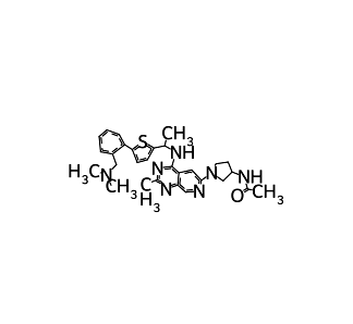 CC(=O)NC1CCN(c2cc3c(NC(C)c4ccc(-c5ccccc5CN(C)C)s4)nc(C)nc3cn2)C1